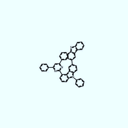 c1ccc(-c2cc(-c3ccccc3)nc(-c3cccc4c3c3cc(-c5ccc6sc7ccccc7c6c5)ccc3n4-c3ccccc3)n2)cc1